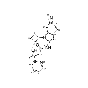 CC(O)(CC(=O)Nc1nc2ccc(C#N)cc2n1C1CCC1)c1ccccn1